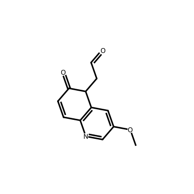 COc1cnc2c(c1)C(CC=O)C(=O)C=C2